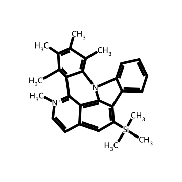 Cc1c(C)c(C)c2c(c1C)c1c3c(cc[n+]1C)cc([Si](C)(C)C)c1c4ccccc4n2c13